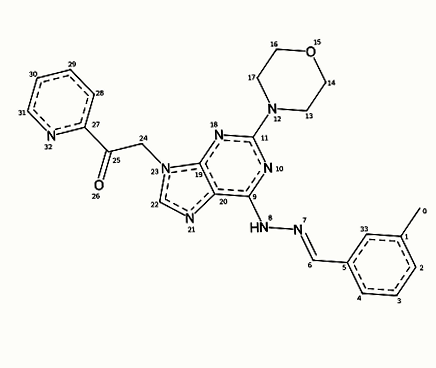 Cc1cccc(C=NNc2nc(N3CCOCC3)nc3c2ncn3CC(=O)c2ccccn2)c1